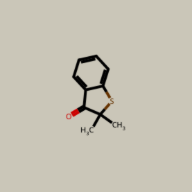 CC1(C)Sc2ccccc2C1=O